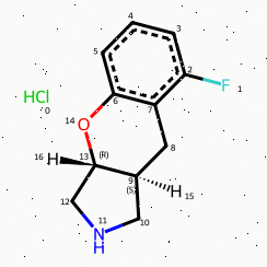 Cl.Fc1cccc2c1C[C@H]1CNC[C@@H]1O2